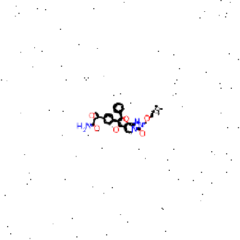 C[Si](C)(C)CCOCn1nc2c3oc(-c4ccccc4)c(-c4ccc(C5COC5C(N)=O)cc4)c(=O)c3ccn2c1=O